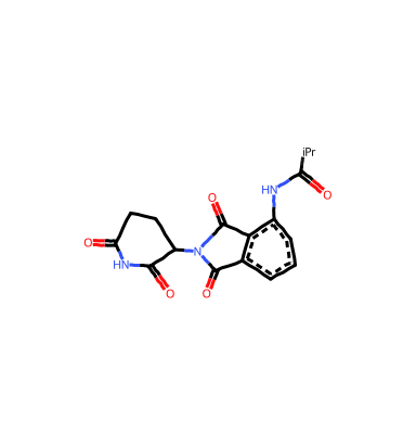 CC(C)C(=O)Nc1cccc2c1C(=O)N(C1CCC(=O)NC1=O)C2=O